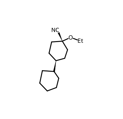 CCO[C@]1(C#N)CC[C@@H](C2CCCCC2)CC1